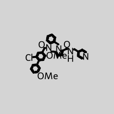 COc1cccc(-c2cc(OC)c(C(=O)N3Cc4ccc(C(=O)NCc5ccncc5)n4Cc4ccccc43)cc2Cl)c1